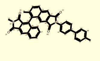 Cc1ccc(-c2ccc(N3C(=O)c4cc5ccc(C)c(-c6c7c(cc8ccccc68)C(=O)N(C)C7=O)c5cc4C3=O)cc2)cc1